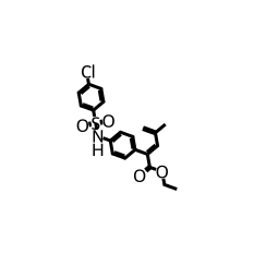 C=C(C)/C=C(/C(=O)OCC)c1ccc(NS(=O)(=O)c2ccc(Cl)cc2)cc1